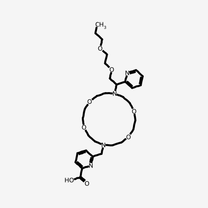 CCCOCCOCC(c1ccccn1)N1CCOCCOCCN(Cc2cccc(C(=O)O)n2)CCOCCOCC1